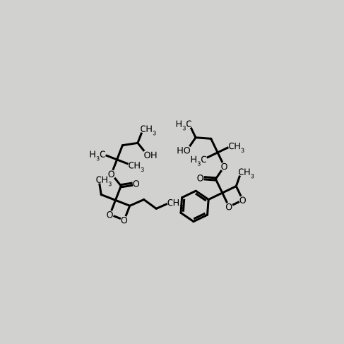 CC(O)CC(C)(C)OC(=O)C1(c2ccccc2)OOC1C.CCCC1OOC1(CC)C(=O)OC(C)(C)CC(C)O